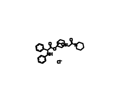 O=C(OC1C[N+]2(CC(=O)N3CCCCC3)CCC1CC2)C(Nc1ccccc1)c1ccccc1.[Cl-]